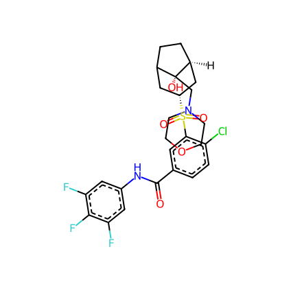 O=C(Nc1cc(F)c(F)c(F)c1)c1ccc(Cl)c(S(=O)(=O)[C@@H]2CC3CC[C@@H](C2)[C@@]3(O)CN2CCOCC2)c1